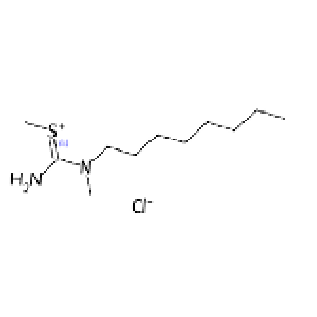 CCCCCCCCN(C)/C(N)=[S+]/C.[Cl-]